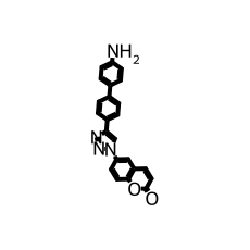 Nc1ccc(-c2ccc(-c3cn(-c4ccc5oc(=O)ccc5c4)nn3)cc2)cc1